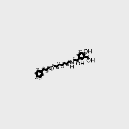 OCc1cc(C(O)CNCCCCCCCOCCCc2ccccc2)ccc1O